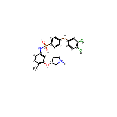 CN1CC[C@@H](Oc2cc(NS(=O)(=O)c3ccc(Sc4ccc(Cl)c(Cl)c4)cc3)ccc2C(F)(F)F)C1